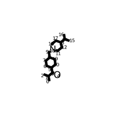 CC(C)C(=O)C1CCC(CN2CCC(C(C)C)CC2)CC1